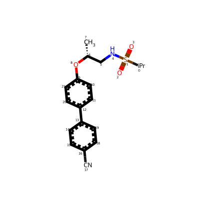 CC(C)S(=O)(=O)NC[C@@H](C)Oc1ccc(-c2ccc(C#N)cc2)cc1